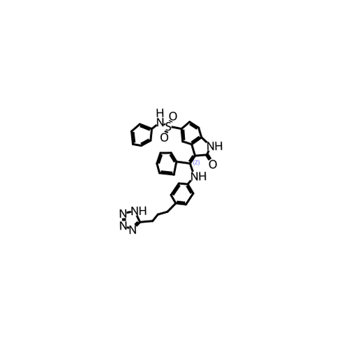 O=C1Nc2ccc(S(=O)(=O)Nc3ccccc3)cc2/C1=C(/Nc1ccc(CCCc2nnn[nH]2)cc1)c1ccccc1